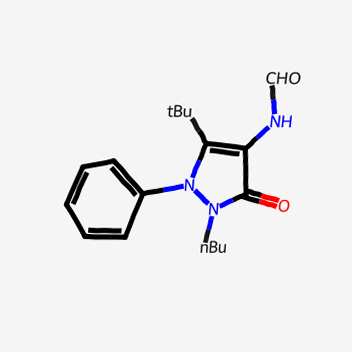 CCCCn1c(=O)c(NC=O)c(C(C)(C)C)n1-c1ccccc1